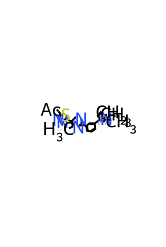 C=C/C(=C\N(C)C)c1cccc(-c2ncc(-c3nnc(C(C)=O)s3)c(C)n2)c1